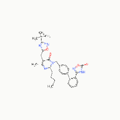 CCCCc1nc(C)c(Cc2nc(C(C)(C)C)no2)c(=O)n1Cc1ccc(-c2ccccc2-c2noc(=O)[nH]2)cc1